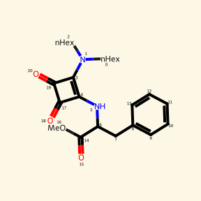 CCCCCCN(CCCCCC)c1c(NC(Cc2ccccc2)C(=O)OC)c(=O)c1=O